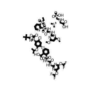 CC(C)Oc1cc(-n2nc(C(C)(C)C)oc2=O)c(Cl)cc1Cl.CCS(=O)(=O)c1cccnc1S(=O)(=O)NC(=O)Nc1nc(OC)cc(OC)n1.C[S+](C)C.O=C(Nc1nc(OC(F)F)cc(OC(F)F)n1)NS(=O)(=O)c1ccccc1C(=O)O.O=C(O)CNCP(=O)([O-])O